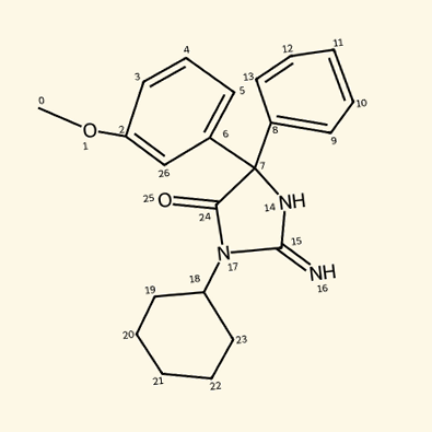 COc1cccc(C2(c3ccccc3)NC(=N)N(C3CCCCC3)C2=O)c1